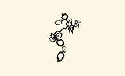 CN(CCCCc1cc(-c2ccccc2Cl)nc2c(Br)cnn12)S(=O)(=O)c1ccc(Oc2ccccc2)cc1